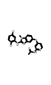 CC(=O)Nc1cc(Oc2ccc3c(c2)nc(Nc2cc(Cl)ccc2Cl)n3C)ccn1